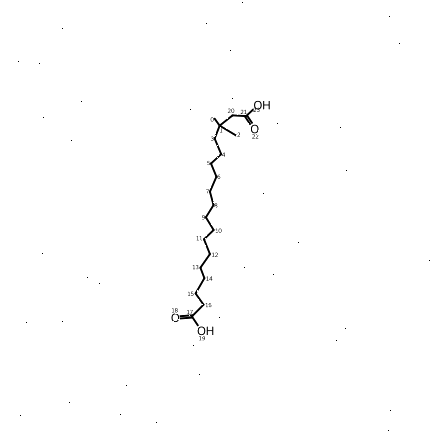 CC(C)(CCCCCCCCCCCCCCC(=O)O)CC(=O)O